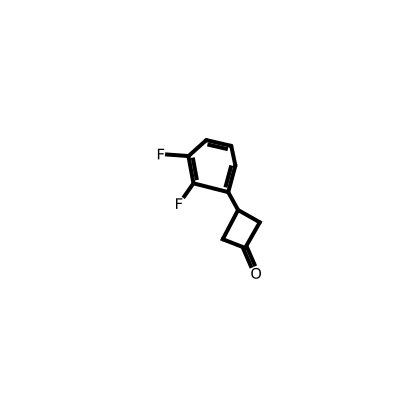 O=C1CC(c2cccc(F)c2F)C1